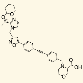 C[C@H](OC1CCCCO1)c1nccn1Cc1cc(-c2ccc(C#Cc3ccc(CN4CCOCC4C(=O)O)cc3)cc2)on1